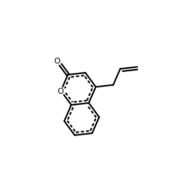 C=CCc1cc(=O)oc2ccccc12